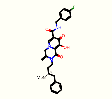 C=C1Cn2cc(C(=O)NCc3ccc(F)cc3)c(=O)c(O)c2C(=O)N1CC[C@H](Cc1ccccc1)NC